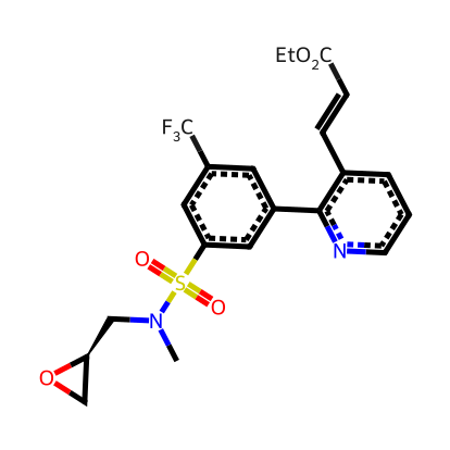 CCOC(=O)C=Cc1cccnc1-c1cc(C(F)(F)F)cc(S(=O)(=O)N(C)C[C@H]2CO2)c1